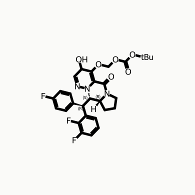 CC(C)(C)OC(=O)OCOC1=C2C(=O)N3CCC[C@@H]3[C@H]([C@H](c3ccc(F)cc3)c3cccc(F)c3F)N2N=CC1O